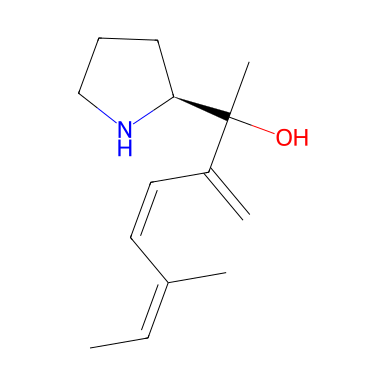 C=C(/C=C\C(C)=C/C)C(C)(O)[C@@H]1CCCN1